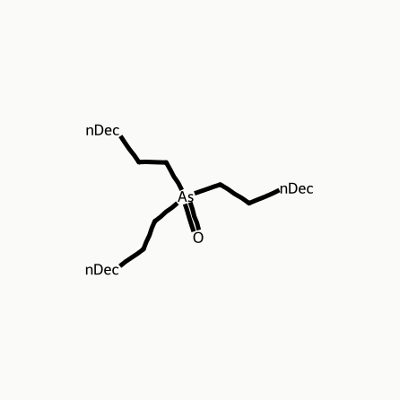 CCCCCCCCCCCC[As](=O)(CCCCCCCCCCCC)CCCCCCCCCCCC